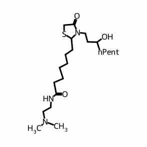 CCCCCC(O)CCN1C(=O)CSC1CCCCCCC(=O)NCCN(C)C